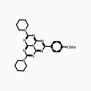 COc1ccc(C2=NC3=NC(N4CCCCC4)=NC4=NC(N5CCCCC5)=NC(=N2)N34)cc1